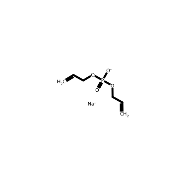 C=CCOP(=O)([O-])OCC=C.[Na+]